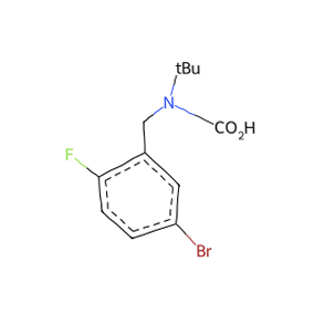 CC(C)(C)N(Cc1cc(Br)ccc1F)C(=O)O